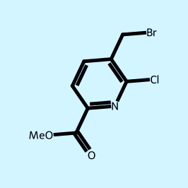 COC(=O)c1ccc(CBr)c(Cl)n1